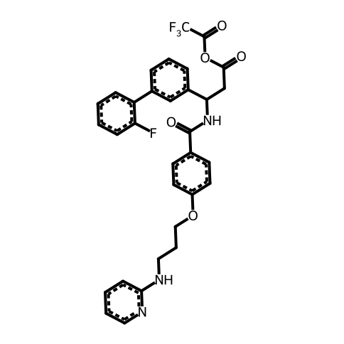 O=C(CC(NC(=O)c1ccc(OCCCNc2ccccn2)cc1)c1cccc(-c2ccccc2F)c1)OC(=O)C(F)(F)F